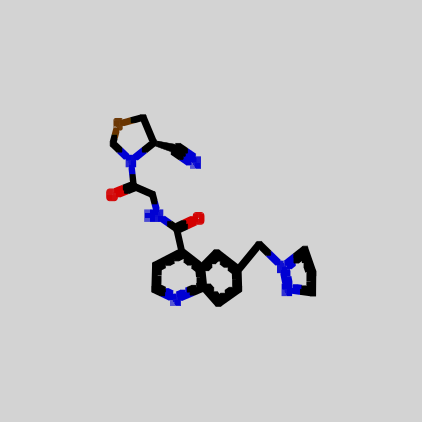 N#C[C@@H]1CSCN1C(=O)CNC(=O)c1ccnc2ccc(Cn3cccn3)cc12